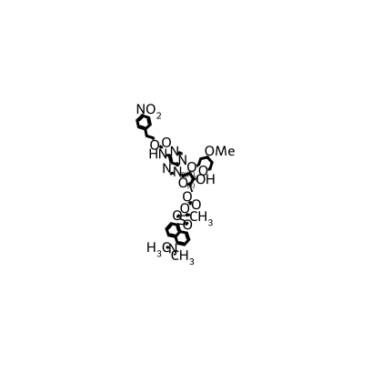 COC1CCOC(O[C@@H]2[C@H](O)[C@@H](COC(=O)OC(C)S(=O)(=O)c3cccc4c(N(C)C)cccc34)O[C@H]2n2cnc3c(NC(=O)OCCc4ccc([N+](=O)[O-])cc4)ncnc32)C1